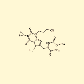 Cc1c(CN(NC(=O)OC(C)(C)C)C(N)=O)sc2c1c(=O)n(C1CC1)c(=O)n2CCCC#N